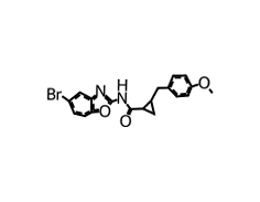 COc1ccc(CC2CC2C(=O)Nc2nc3cc(Br)ccc3o2)cc1